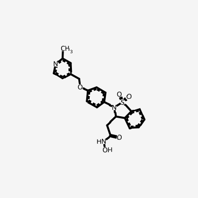 Cc1cc(COc2ccc(N3C(CC(=O)NO)c4ccccc4S3(=O)=O)cc2)ccn1